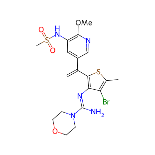 C=C(c1cnc(OC)c(NS(C)(=O)=O)c1)c1sc(C)c(Br)c1/N=C(\N)N1CCOCC1